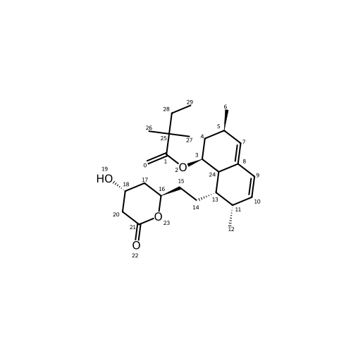 C=C(O[C@H]1C[C@@H](C)C=C2C=C[C@H](C)[C@H](CC[C@@H]3C[C@@H](O)CC(=O)O3)C21)C(C)(C)CC